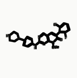 COn1c(=O)c(-c2c(F)cccc2Cl)cc2cnc(Nc3ccc(N4CCNCC4)cc3)nc21